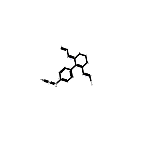 C=C/C=C1\CCCC(/C=C/I)=C1c1ccc(N=[N+]=[N-])cc1